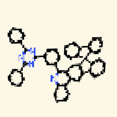 c1ccc(-c2nc(-c3ccccc3)nc(-c3cccc(-c4nc5ccccc5c5cc6c(cc45)C4(c5ccccc5-c5ccccc54)c4ccccc4-6)c3)n2)cc1